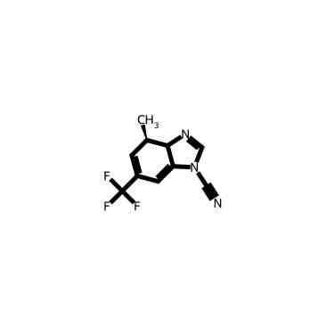 C[C@@H]1C=C(C(F)(F)F)C=C2C1N=CN2C#N